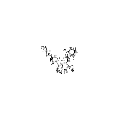 COc1cc2[nH]nc(-c3ccc(N4CC5(COC5)C4)nc3)c2cc1O[C@H](C)c1c(C)cnnc1C